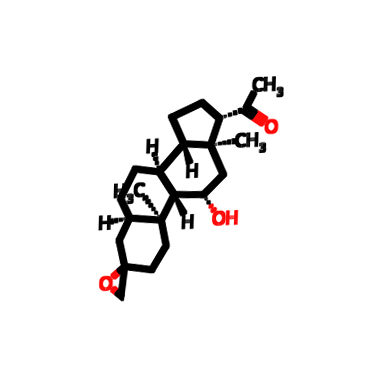 CC(=O)[C@H]1CC[C@H]2[C@@H]3CC[C@@H]4CC5(CC[C@]4(C)[C@H]3[C@@H](O)C[C@]12C)CO5